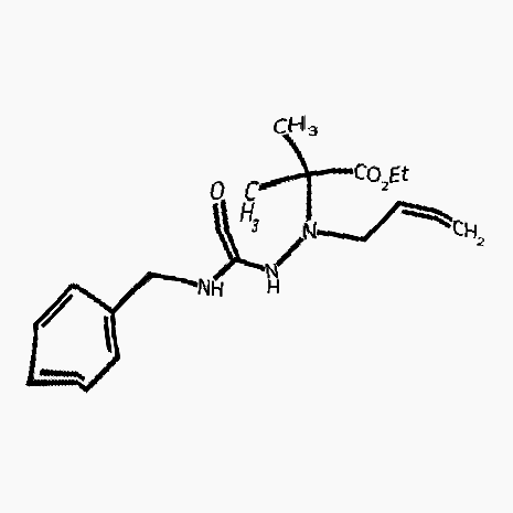 C=CCN(NC(=O)NCc1ccccc1)C(C)(C)C(=O)OCC